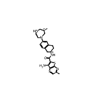 Cc1cnc2c(N)c(C(=O)N[C@@H]3CCc4cc(N5CCNC[C@@H](C)C5)ccc4C3)sc2n1